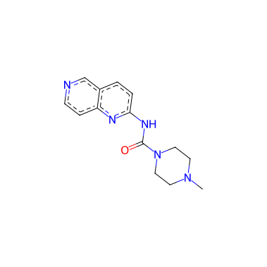 CN1CCN(C(=O)Nc2ccc3cnccc3n2)CC1